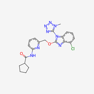 Cn1nnnc1-n1c(OCc2cccc(NC(=O)C3CCCC3)n2)nc2c(Cl)cccc21